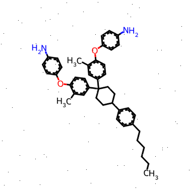 CCCCCCc1ccc(C2CCC(c3ccc(Oc4ccc(N)cc4)c(C)c3)(c3ccc(Oc4ccc(N)cc4)c(C)c3)CC2)cc1